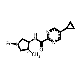 CC(C)N1C[C@H](C)[C@H](NC(=O)c2ncc(C3CC3)cn2)C1